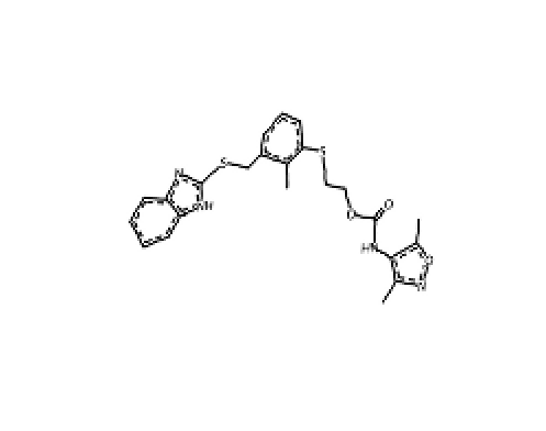 Cc1noc(C)c1NC(=O)OCCSc1cccc(CSc2nc3ccccc3[nH]2)c1C